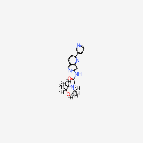 [2H]C1([2H])OC([2H])([2H])C([2H])([2H])N(CC(=O)Nc2cc3nc(-c4cccnc4)ccc3cn2)C1([2H])[2H]